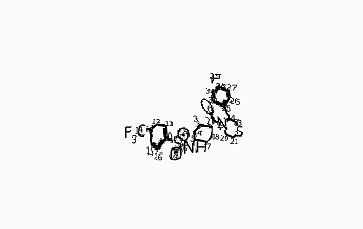 O=C([C@H]1CC[C@H](NS(=O)(=O)c2ccc(C(F)(F)F)cc2)CC1)N1CCSCC1c1ccc(F)cc1